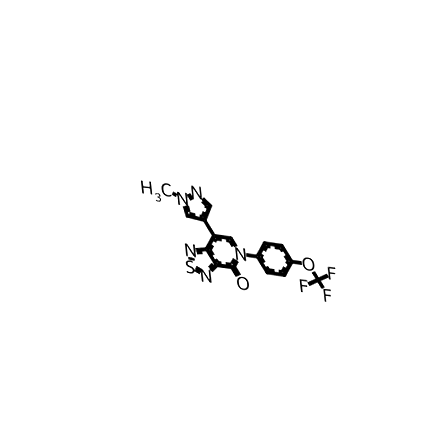 Cn1cc(-c2cn(-c3ccc(OC(F)(F)F)cc3)c(=O)c3nsnc23)cn1